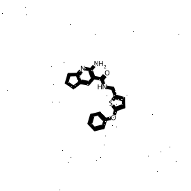 Nc1nc2c(cc1C(=O)NCc1ccc(Oc3ccccc3)s1)CCC2